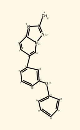 Cc1nc2ccc(-c3cccc(Oc4ccccc4)c3)cn2n1